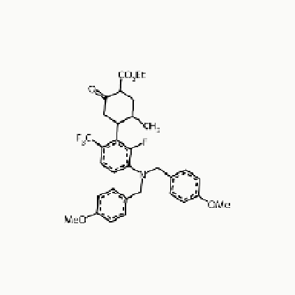 CCOC(=O)C1CC(C)C(c2c(C(F)(F)F)ccc(N(Cc3ccc(OC)cc3)Cc3ccc(OC)cc3)c2F)CC1=O